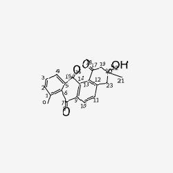 Cc1cccc2c1C(=O)c1ccc3c(c1C2=O)C(=O)CC(C)(O)C3